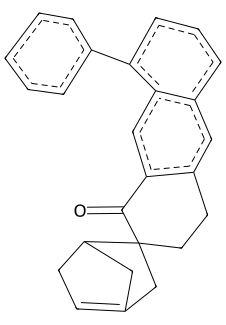 O=C1c2cc3c(-c4ccccc4)cccc3cc2CCC12CC1=CCC2C1